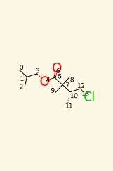 CC(C)COC(=O)C(C)(C)[C@@H](C)CCl